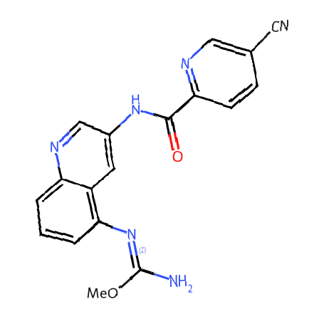 CO/C(N)=N\c1cccc2ncc(NC(=O)c3ccc(C#N)cn3)cc12